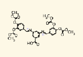 COC(=O)Oc1ccc(/C=N/c2cc(/N=C/c3ccc(OC(=O)OC)c(OC(=O)OC)c3)cc(C(=O)O)c2)cc1OC(=O)OC